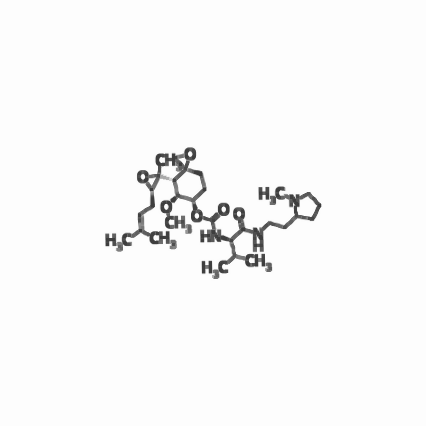 CO[C@H]1[C@H](C2(C)O[C@@H]2CC=C(C)C)[C@]2(CC[C@H]1OC(=O)N[C@@H](C(=O)NCCC1CCCN1C)C(C)C)CO2